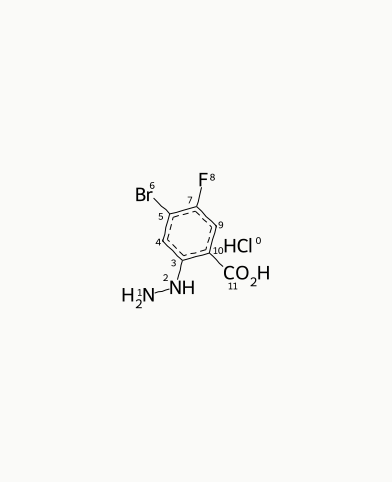 Cl.NNc1cc(Br)c(F)cc1C(=O)O